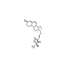 C[C@H](/C=C/C(=O)NS(=O)(=O)C1CC1)[C@H]1CCC2C3C=CC4=CC(=O)CC[C@]4(C)C3CC[C@@]21C